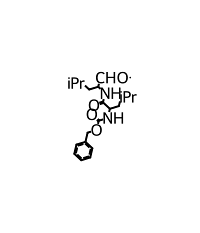 CC(C)CC([C]=O)NC(=O)C(CC(C)C)NC(=O)OCc1ccccc1